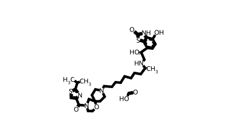 CC(CCCCCCCCN1CCC2(CC1)CN(C(=O)c1csc(C(C)C)n1)CCO2)NC[C@H](O)c1ccc(O)c2[nH]c(=O)sc12.O=CO